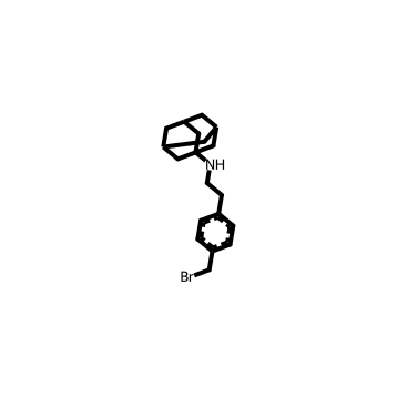 BrCc1ccc(CCNC23CC4CC(CC(C4)C2)C3)cc1